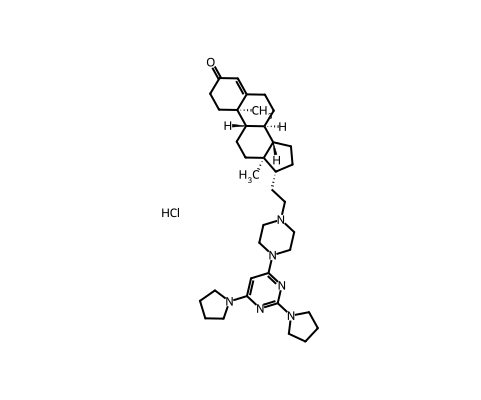 C[C@]12CC[C@H]3[C@@H](CCC4=CC(=O)CC[C@@]43C)[C@@H]1CC[C@@H]2CCN1CCN(c2cc(N3CCCC3)nc(N3CCCC3)n2)CC1.Cl